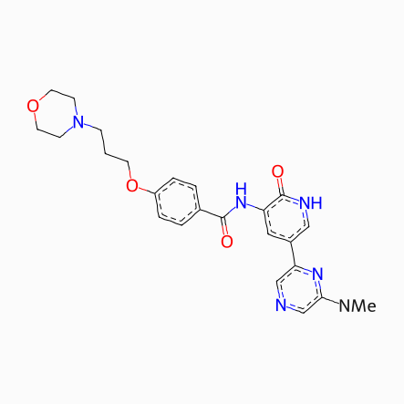 CNc1cncc(-c2c[nH]c(=O)c(NC(=O)c3ccc(OCCCN4CCOCC4)cc3)c2)n1